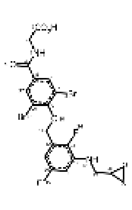 O=C(O)CNC(=O)c1cc(Br)c(OCc2cc(Cl)cc(NCC3CC3)c2F)c(Br)c1